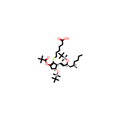 CCCC[C@@H](C)C[C@@H](C=C[C@@H]1C(SCCCCCC(=O)O)=C(OC(=O)C(C)(C)C)C[C@H]1O[Si](C)(C)C(C)(C)C)O[Si](C)(C)C(C)(C)C